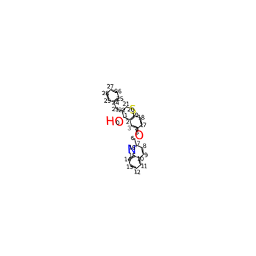 OC1c2cc(OCc3ccc4ccccc4n3)ccc2SCC1Cc1ccccc1